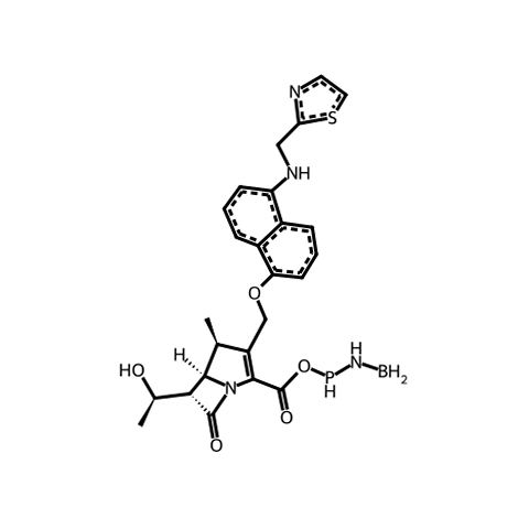 BNPOC(=O)C1=C(COc2cccc3c(NCc4nccs4)cccc23)[C@H](C)[C@@H]2[C@@H]([C@@H](C)O)C(=O)N12